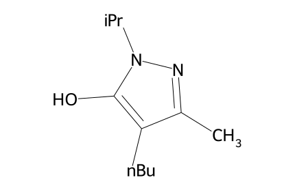 CCCCc1c(C)nn(C(C)C)c1O